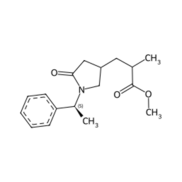 COC(=O)C(C)CC1CC(=O)N([C@@H](C)c2ccccc2)C1